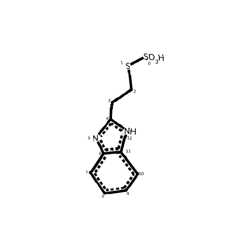 O=S(=O)(O)SCCc1nc2ccccc2[nH]1